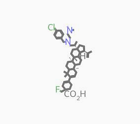 C=C(C)[C@@H]1CC[C@]2(C(C)CN(CCN(C)C)Cc3ccc(Cl)cc3)CC[C@]3(C)[C@H](CCC4[C@@]5(C)CC=C(C6=CC[C@](CF)(C(=O)O)CC6)C(C)(C)C5CC[C@]43C)C12